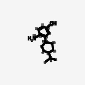 CN(C)C1CCN(c2cc(O)ccc2N)CC1